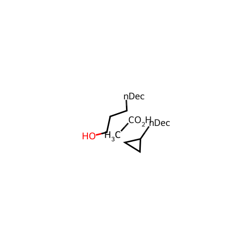 CC(=O)O.CCCCCCCCCCC1CC1.CCCCCCCCCCCCCO